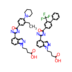 CCc1cc(-c2nc(-c3cccc4c3cnn4CCCC(=O)O)no2)ccc1N1CCCCC1.O=C(O)CCCn1ncc2c(-c3noc(-c4ccc(-c5ccccc5)c(C(F)(F)F)c4)n3)cccc21